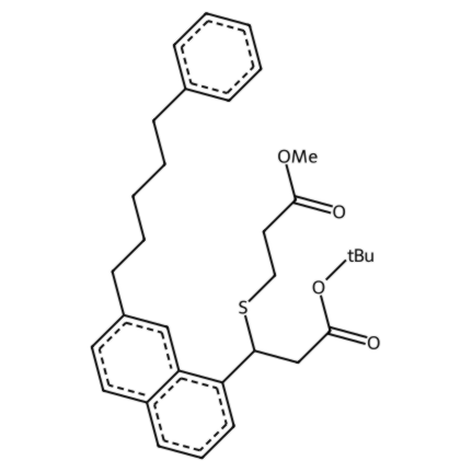 COC(=O)CCSC(CC(=O)OC(C)(C)C)c1cccc2ccc(CCCCCc3ccccc3)cc12